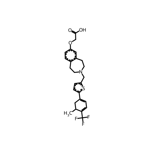 CC1CC(c2ccc(CN3CCc4ccc(OCC(=O)O)cc4CC3)s2)=CC=C1C(F)(F)F